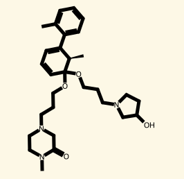 Cc1ccccc1C1=CC=CC(OCCCN2CCN(C)C(=O)C2)(OCCCN2CCC(O)C2)[C@@H]1C